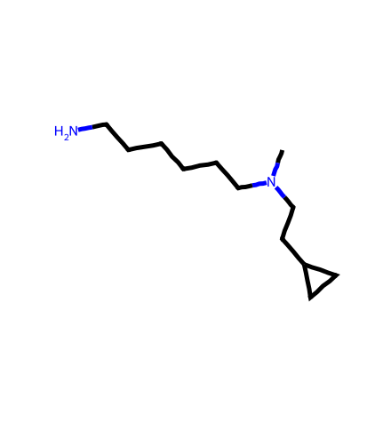 CN(CCCCCCN)CCC1CC1